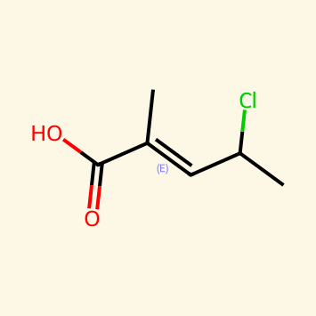 C/C(=C\C(C)Cl)C(=O)O